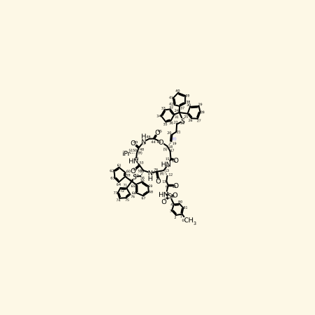 Cc1ccc(S(=O)(=O)NC(=O)CC[C@H]2NC(=O)C[C@@H](/C=C/CCSC(c3ccccc3)(c3ccccc3)c3ccccc3)OC(=O)CNC(=O)[C@@H](C(C)C)NC(=O)[C@@H](CSC(c3ccccc3)(c3ccccc3)c3ccccc3)NC2=O)cc1